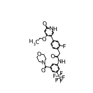 CCOc1cc(=O)[nH]cc1-c1ccc(CC(=O)Nc2cc(C(=O)N3CCOCC3)cc(S(F)(F)(F)(F)F)c2)c(F)c1